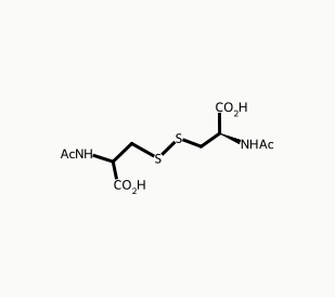 CC(=O)NC(CSSC[C@H](NC(C)=O)C(=O)O)C(=O)O